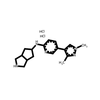 Cc1nn(C)cc1-c1ccc(NC2CC3CNCC3C2)nc1.Cl.Cl